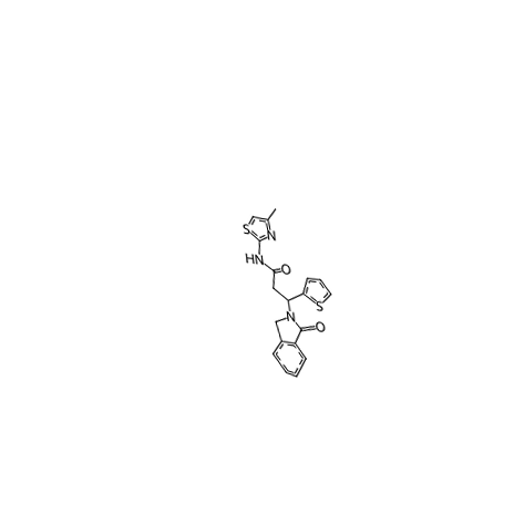 Cc1csc(NC(=O)CC(c2cccs2)N2Cc3ccccc3C2=O)n1